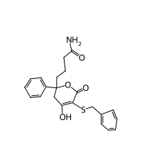 NC(=O)CCCC1(c2ccccc2)CC(O)=C(SCc2ccccc2)C(=O)O1